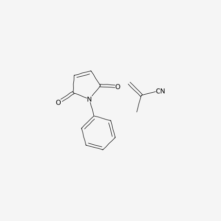 C=C(C)C#N.O=C1C=CC(=O)N1c1ccccc1